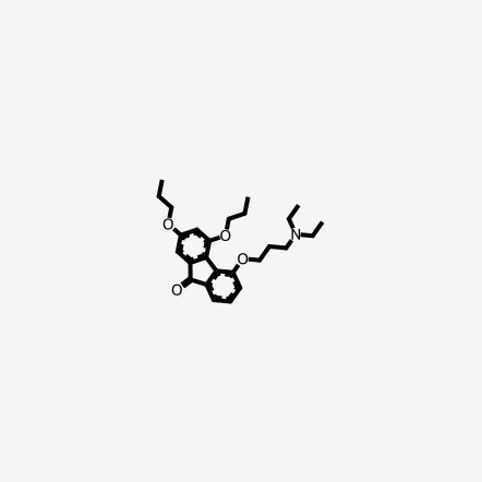 CCCOc1cc(OCCC)c2c(c1)C(=O)c1cccc(OCCCN(CC)CC)c1-2